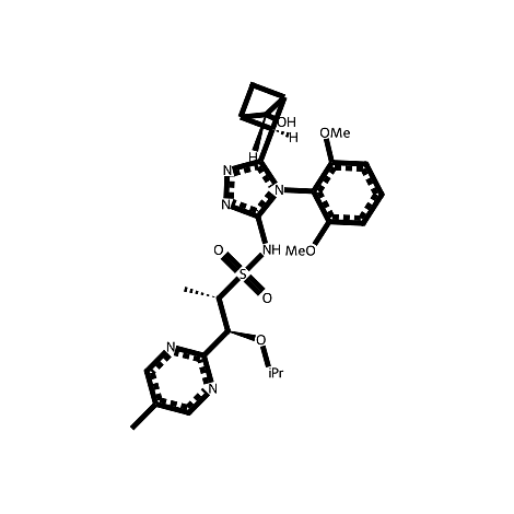 COc1cccc(OC)c1-n1c(NS(=O)(=O)[C@@H](C)[C@@H](OC(C)C)c2ncc(C)cn2)nnc1[C@H]1C2CC1[C@@H]2O